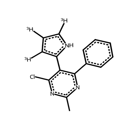 [3H]c1[nH]c(-c2c(Cl)nc(C)nc2-c2ccccc2)c([3H])c1[3H]